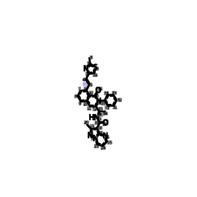 Cc1nc(/C=C/c2cccc3cc([C@@H](C)NC(=O)c4c(C)nn5cccnc45)n(-c4ccccc4)c(=O)c23)cs1